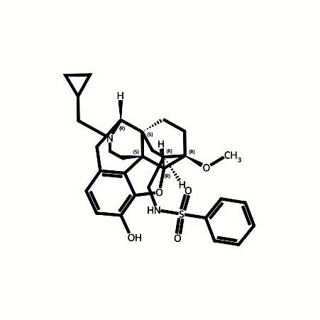 CO[C@]12CC[C@@]3(C[C@@H]1CNS(=O)(=O)c1ccccc1)[C@H]1Cc4ccc(O)c5c4[C@@]3(CCN1CC1CC1)[C@H]2O5